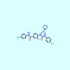 Cc1cc(C(=O)Nc2ccc(Cl)cc2)ccc1N(CCN1CCCC1)C(=O)Nc1ccc(Cl)cc1